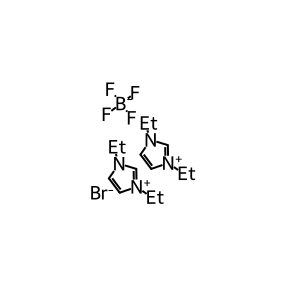 CCn1cc[n+](CC)c1.CCn1cc[n+](CC)c1.F[B-](F)(F)F.[Br-]